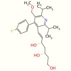 COCc1c(C(C)C)nc(C(C)C)c(/C=C/[C@@H](O)C[C@@H](O)CCO)c1-c1ccc(F)cc1